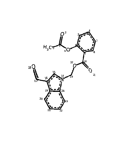 CC(=O)Oc1ccccc1C(=O)OCn1cc(C=O)c2ccccc21